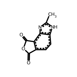 Cc1nc2c3c(ccc2[nH]1)C(=O)OC3=O